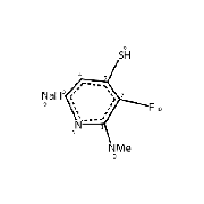 CNc1nccc(S)c1F.[NaH]